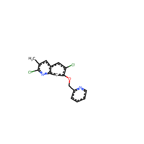 Cc1cc2cc(Cl)c(OCc3ccccn3)cc2nc1Cl